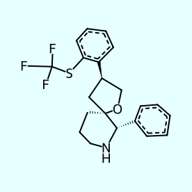 FC(F)(F)Sc1ccccc1[C@H]1CO[C@]2(CCCN[C@H]2c2ccccc2)C1